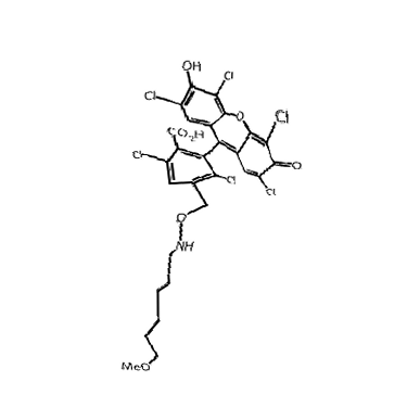 COCCCCCCNOCc1cc(Cl)c(C(=O)O)c(-c2c3cc(Cl)c(=O)c(Cl)c-3oc3c(Cl)c(O)c(Cl)cc23)c1Cl